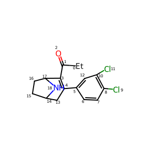 CCC(=O)C1=C(c2ccc(Cl)c(Cl)c2)CC2CCC1N2